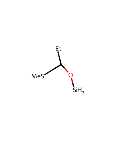 CCC(O[SiH3])SC